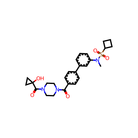 CN(c1cccc(-c2ccc(C(=O)N3CCN(C(=O)C4(O)CC4)CC3)cc2)c1)S(=O)(=O)C1CCC1